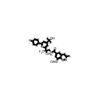 COc1cc(C(=O)NC[C@](O)(c2cc(C(C)(C)O)cc(-c3ccc(F)cc3)n2)C(F)(F)F)cc2cc(C)nnc12